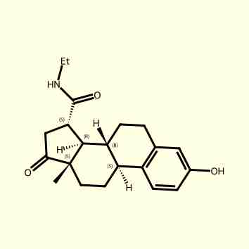 CCNC(=O)[C@H]1CC(=O)[C@@]2(C)CC[C@@H]3c4ccc(O)cc4CC[C@H]3[C@H]12